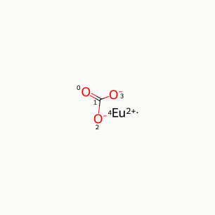 O=C([O-])[O-].[Eu+2]